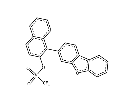 O=S(=O)(Oc1ccc2ccccc2c1-c1ccc2c(c1)oc1ccccc12)C(F)(F)F